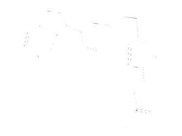 COC(=O)COc1ccc(C(C)CNCC(OC)c2occ3ccccc23)cc1